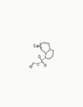 O=COS(=O)(=O)c1cccc2ccccc12.[CaH2]